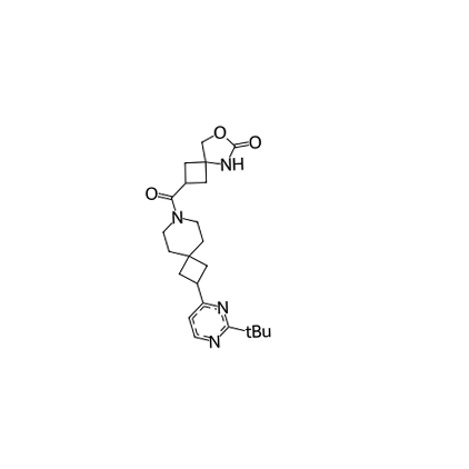 CC(C)(C)c1nccc(C2CC3(CCN(C(=O)C4CC5(COC(=O)N5)C4)CC3)C2)n1